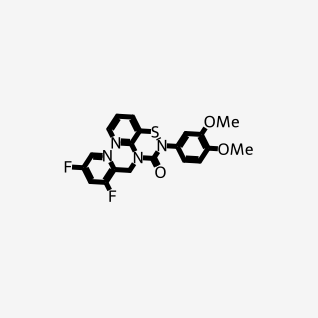 COc1ccc(N2Sc3cccnc3N(Cc3ncc(F)cc3F)C2=O)cc1OC